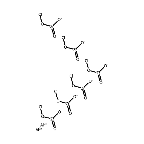 [Al+3].[Al+3].[O]=[Zr]([O-])[O]Cl.[O]=[Zr]([O-])[O]Cl.[O]=[Zr]([O-])[O]Cl.[O]=[Zr]([O-])[O]Cl.[O]=[Zr]([O-])[O]Cl.[O]=[Zr]([O-])[O]Cl